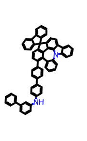 c1ccc(-c2cccc(Nc3ccc(-c4ccc(-c5ccc6c7c5-c5ccccc5-n5c8ccccc8c8ccc(c-7c85)C65c6ccccc6-c6ccccc65)cc4)cc3)c2)cc1